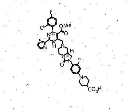 COC(=O)C1=C(CN2CCN3C(=O)N(c4ccc(N5CCC(C(=O)O)CC5)cc4F)C[C@@H]3C2)NC(c2nccs2)=N[C@H]1c1ccc(F)cc1Cl